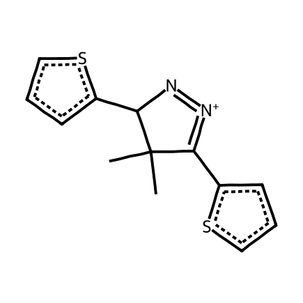 CC1(C)C(c2cccs2)=[N+]=NC1c1cccs1